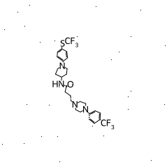 O=C(CCCN1CCN(c2ccc(C(F)(F)F)cc2)CC1)NC1CCN(c2ccc(SC(F)(F)F)cc2)CC1